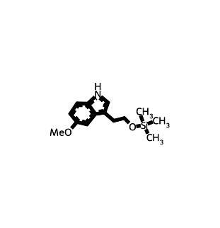 COc1ccc2[nH]cc(CCO[Si](C)(C)C)c2c1